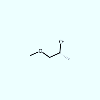 COC[C@@H](C)[O]